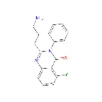 NCCCc1nc2cccc(Cl)c2c(=O)n1-c1ccccc1